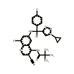 [2H]C(Nc1cc(Cl)c2ncc(C#N)c(NC(=O)C(C)(C)C)c2c1)(c1ccc(F)cc1)c1cn(C2CC2)nn1